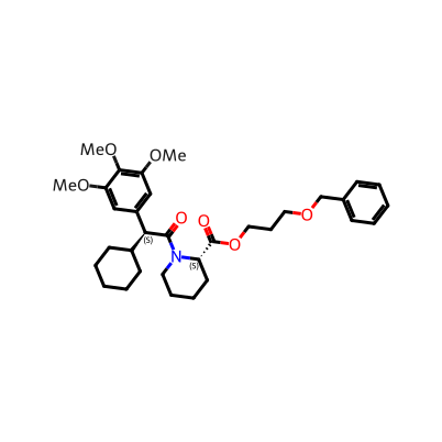 COc1cc([C@@H](C(=O)N2CCCC[C@H]2C(=O)OCCCOCc2ccccc2)C2CCCCC2)cc(OC)c1OC